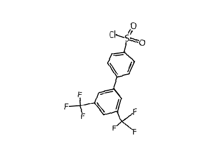 O=S(=O)(Cl)c1ccc(-c2cc(C(F)(F)F)cc(C(F)(F)F)c2)cc1